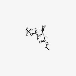 CCOC(=O)C[C@@H](C#N)NC(=O)OC(C)(C)C